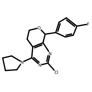 Fc1ccc(C2OCCc3c2nc(Cl)nc3N2CCCC2)cc1